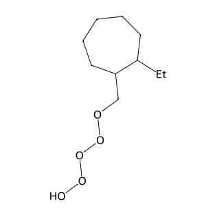 CCC1CCCCCC1COOOOO